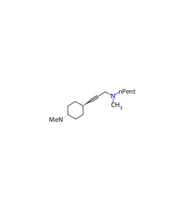 CCCCCN(C)CC#C[C@H]1CC[C@H](NC)CC1